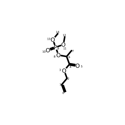 C=CCOC(=O)C(C)OP(=O)(OC)OC